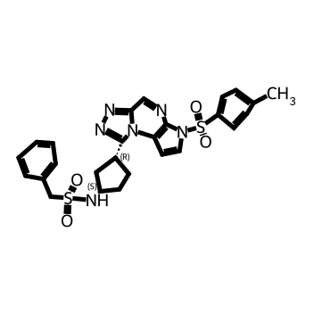 Cc1ccc(S(=O)(=O)n2ccc3c2ncc2nnc([C@@H]4CC[C@H](NS(=O)(=O)Cc5ccccc5)C4)n23)cc1